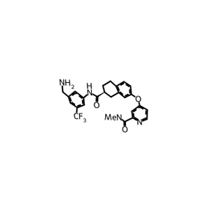 CNC(=O)c1cc(Oc2ccc3c(c2)C[C@@H](C(=O)Nc2cc(CN)cc(C(F)(F)F)c2)CC3)ccn1